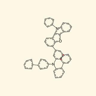 c1ccc(-c2ccc(N(c3cccc(-c4cccc5c4oc4c6ccccc6n(-c6ccccc6)c54)c3)c3ccccc3-c3ccccc3)cc2)cc1